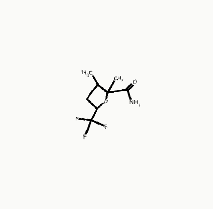 CC1CC(C(F)(F)F)OC1(C)C(N)=O